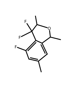 Cc1cc(F)c2c(c1)C(C)OC(C)C2(F)F